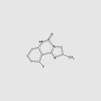 Cc1cn2c(=O)[nH]c3cccc(F)c3c2n1